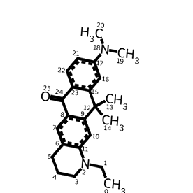 CCN1CCCc2cc3c(cc21)C(C)(C)c1cc(N(C)C)ccc1C3=O